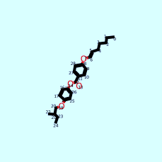 CCCCCC=COc1ccc(C(=O)Oc2ccc(OCC(C)CC)cc2)cc1